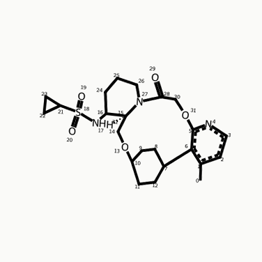 Cc1ccnc2c1C1CCC(CC1)OC[C@H]1C(NS(=O)(=O)C3CC3)CCCN1C(=O)CO2